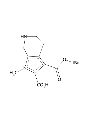 Cn1c2c(c(C(=O)OC(C)(C)C)c1C(=O)O)CCNC2